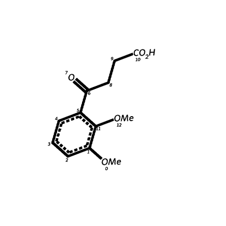 COc1cccc(C(=O)CCC(=O)O)c1OC